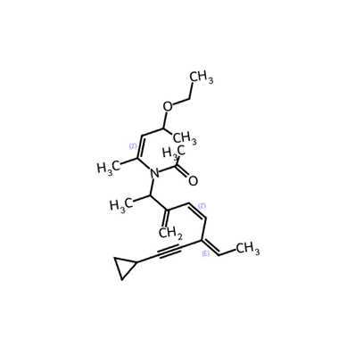 C=C(/C=C\C(C#CC1CC1)=C/C)C(C)N(C(C)=O)/C(C)=C\C(C)OCC